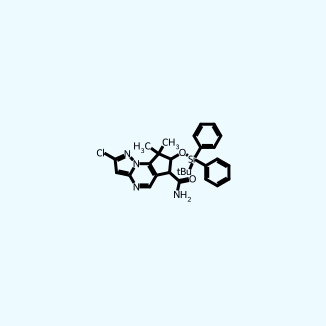 CC1(C)c2c(cnc3cc(Cl)nn23)C(C(N)=O)C1O[Si](c1ccccc1)(c1ccccc1)C(C)(C)C